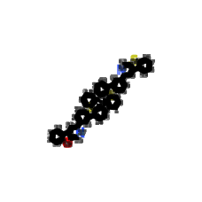 c1ccc([Si](c2ccccc2)(c2cccc3c2sc2ccc(-c4cc5c(cn4)oc4ccccc45)cc23)c2cccc3c2sc2ccc(-c4cc5c(cn4)sc4ccccc45)cc23)cc1